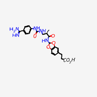 C[C@H](CNC(=O)Nc1ccc(C(=N)N)cc1)C(=O)NC1Oc2ccc(CCC(=O)O)cc2O1